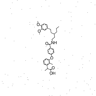 CCCC(CCNC(=O)c1ccc(Oc2cccc(C(C)C(=O)O)c2C)cc1)CCc1ccc(OC)c(OC)c1